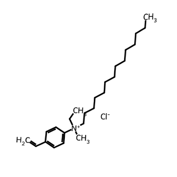 C=Cc1ccc([N+](C)(CC)CCCCCCCCCCCCCC)cc1.[Cl-]